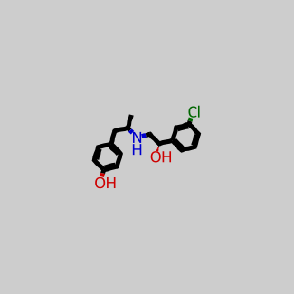 CC(Cc1ccc(O)cc1)NC[C@@H](O)c1cccc(Cl)c1